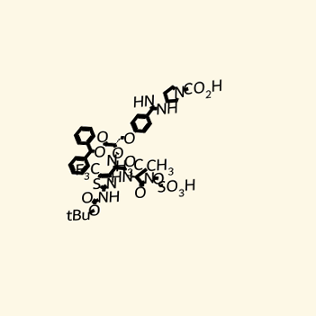 CC(C)(C)OC(=O)Nc1nc(/C(=N/O[C@@H](COc2ccc(C(=N)N[C@@H]3CCN(C(=O)O)C3)cc2)C(=O)OC(c2ccccc2)c2ccccc2)C(=O)N[C@@H]2C(=O)N(OS(=O)(=O)O)C2(C)C)c(C(F)(F)F)s1